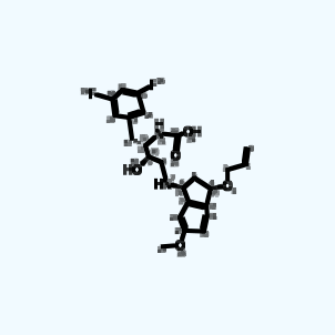 C=CCO[C@@H]1C[C@H](NC[C@@H](O)[C@H](Cc2cc(F)cc(F)c2)NC(=O)O)c2cc(OC)ccc21